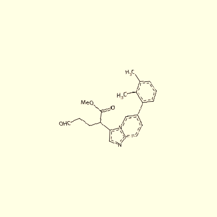 COC(=O)C(CCC=O)c1cnc2ccc(-c3cccc(C)c3C)cn12